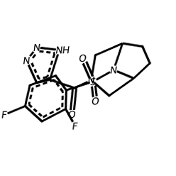 O=C(c1cnn[nH]1)N1CC2CCC(C1)N2S(=O)(=O)c1ccc(F)cc1F